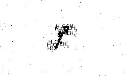 C=C/C(C)=C/C(C)=C(\CC)CCc1ccc(C)c(CCN(C)C2CC(C)(C)CC(C)(C)C2)c1